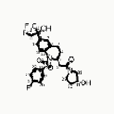 O=C(C[C@@H]1CCc2cc(C(O)(CF)C(F)(F)F)ccc2N1S(=O)(=O)c1ccc(F)cc1)N1CC[C@@H](O)C1